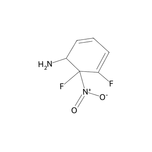 NC1C=CC=C(F)C1(F)[N+](=O)[O-]